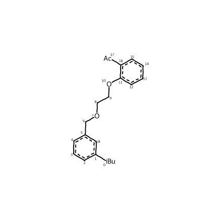 CCC(C)c1cccc(COCCOc2ccccc2C(C)=O)c1